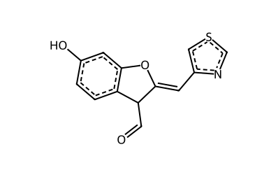 O=CC1/C(=C/c2cscn2)Oc2cc(O)ccc21